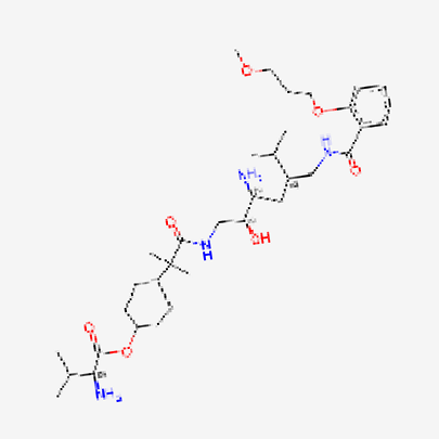 COCCCOc1ccccc1C(=O)NC[C@@H](C[C@H](N)[C@@H](O)CNC(=O)C(C)(C)C1CCC(OC(=O)[C@@H](N)C(C)C)CC1)C(C)C